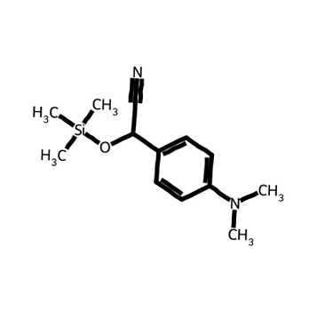 CN(C)c1ccc(C(C#N)O[Si](C)(C)C)cc1